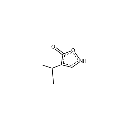 CC(C)c1c[nH]oc1=O